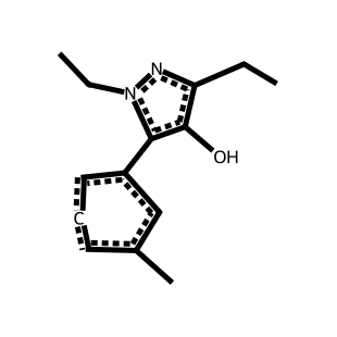 CCc1nn(CC)c(-c2cccc(C)c2)c1O